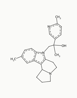 Cc1ccc2c(c1)c1c(n2CC(C)(O)c2ccc(C)nc2)CCN2CCCC12